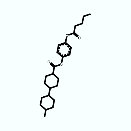 CCCCC(=O)Oc1ccc(OC(=O)C2CCC(C3CCC(C)CC3)CC2)cc1